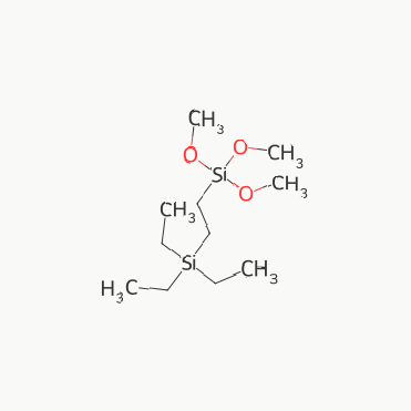 CC[Si](CC)(CC)CC[Si](OC)(OC)OC